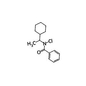 CC(C1CCCCC1)N(Cl)C(=O)c1ccccc1